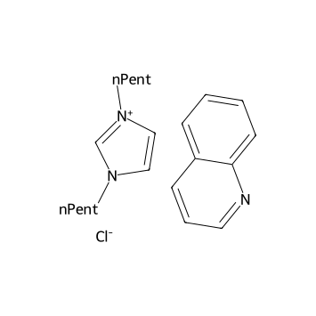 CCCCCn1cc[n+](CCCCC)c1.[Cl-].c1ccc2ncccc2c1